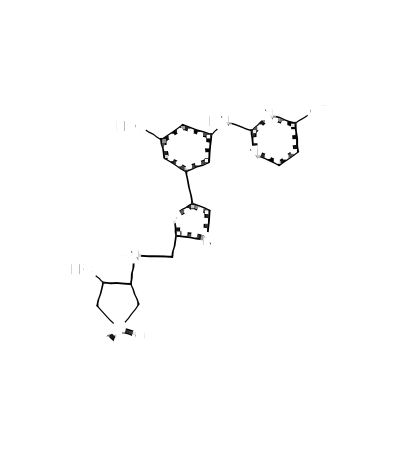 Cc1cc(Nc2nccc(C(F)(F)F)n2)cc(-c2cnc(CNC3CS(=O)(=O)CC3O)s2)c1